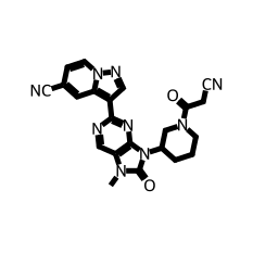 Cn1c(=O)n(C2CCCN(C(=O)CC#N)C2)c2nc(-c3cnn4ccc(C#N)cc34)ncc21